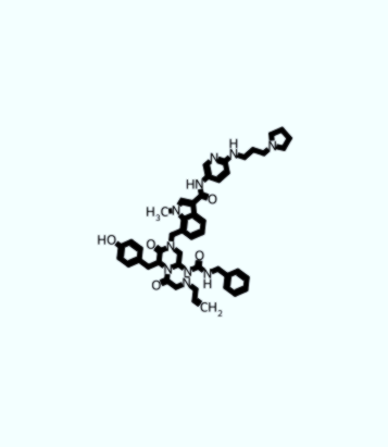 C=CCN1CC(=O)N2C(Cc3ccc(O)cc3)C(=O)N(Cc3cccc4c(C(=O)Nc5ccc(NCCCN6CCCC6)nc5)cn(C)c34)CC2N1C(=O)NCc1ccccc1